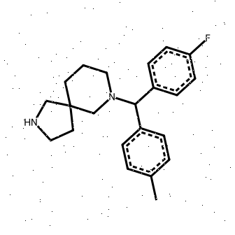 Cc1ccc(C(c2ccc(F)cc2)N2CCCC3(CCNC3)C2)cc1